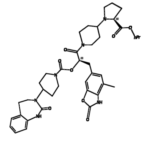 CCCOC(=O)[C@@H]1CCCN1C1CCN(C(=O)[C@@H](Cc2cc(C)c3[nH]c(=O)oc3c2)OC(=O)N2CCC(N3CCc4ccccc4NC3=O)CC2)CC1